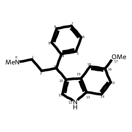 CNCCC(c1ccccc1)c1c[nH]c2ccc(OC)cc12